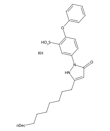 CCCCCCCCCCCCCCCCCc1cc(=O)n(-c2ccc(Oc3ccccc3)c(S(=O)(=O)O)c2)[nH]1.[KH]